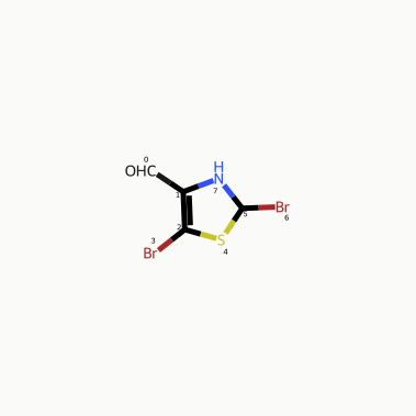 O=CC1=C(Br)SC(Br)N1